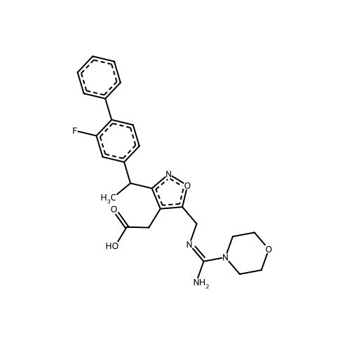 CC(c1ccc(-c2ccccc2)c(F)c1)c1noc(CN=C(N)N2CCOCC2)c1CC(=O)O